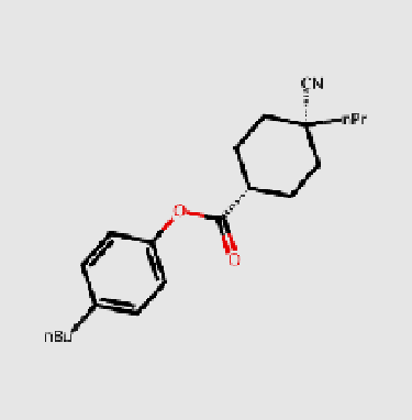 CCCCc1ccc(OC(=O)[C@H]2CC[C@](C#N)(CCC)CC2)cc1